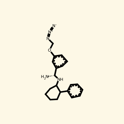 [N-]=[N+]=NCOc1cccc([C@@H](N)NC2CCCCC2c2ccccc2)c1